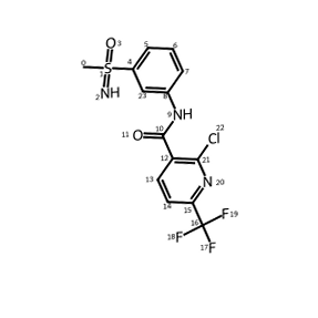 CS(=N)(=O)c1cccc(NC(=O)c2ccc(C(F)(F)F)nc2Cl)c1